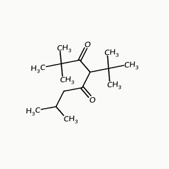 CC(C)CC(=O)C(C(=O)C(C)(C)C)C(C)(C)C